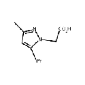 Cc1cc(C(C)C)n(CC(=O)O)n1